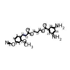 COc1cc(OC#N)ccc1/C=C/C(=O)OCCCOC(=O)c1cc(N)cc(N)c1